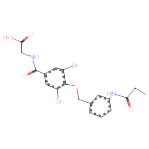 CCC(=O)Nc1cccc(COc2c(Br)cc(C(=O)NCC(=O)O)cc2Br)c1